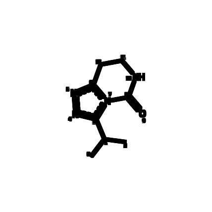 CC(C)c1nnc2n1C(=O)NCC2